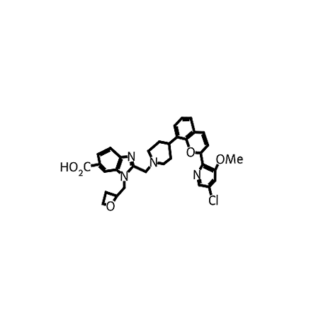 COc1cc(Cl)cnc1C1C=Cc2cccc(C3CCN(Cc4nc5ccc(C(=O)O)cc5n4CC4CCO4)CC3)c2O1